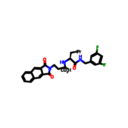 CC(C)C[C@H](N[C@H](CCN1C(=O)c2cc3ccccc3cc2C1=O)C(=O)O)C(=O)NCc1cc(F)cc(F)c1